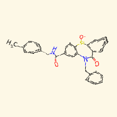 Cc1ccc(CNC(=O)c2ccc3c(c2)N(Cc2ccccc2)C(=O)c2ccccc2[S+]3[O-])cc1